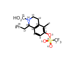 Cc1c(OS(=O)(=O)C(F)(F)F)ccc2c1CCN(C(=O)O)C2CC(C)C